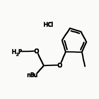 CCCCC(OP)Oc1ccccc1C.Cl